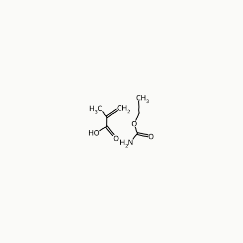 C=C(C)C(=O)O.CCOC(N)=O